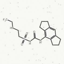 O=C(Nc1c2c(cc3c1CCC3)CCC2)NS(=O)(=O)CCNCC(F)(F)F